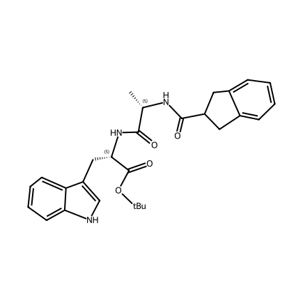 C[C@H](NC(=O)C1Cc2ccccc2C1)C(=O)N[C@@H](Cc1c[nH]c2ccccc12)C(=O)OC(C)(C)C